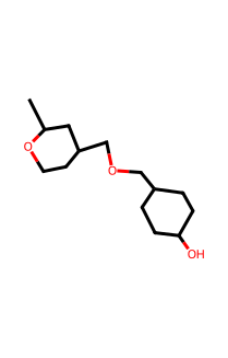 CC1CC(COCC2CCC(O)CC2)CCO1